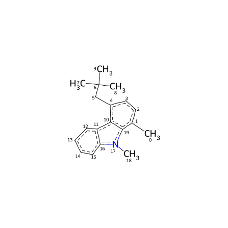 Cc1ccc(CC(C)(C)C)c2c3ccccc3n(C)c12